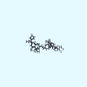 CC(C)(C)OC(=O)N1CC[C@H](SCc2nc3cc(NC4CCCC4)cc(F)c3c(=O)[nH]2)C[C@@H]1C(F)(F)F